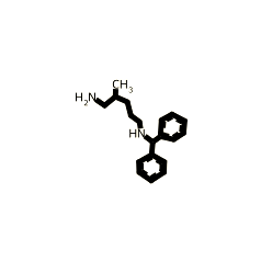 CC(CN)CCCNC(c1ccccc1)c1ccccc1